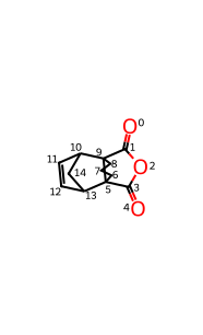 O=C1OC(=O)C23CCCC12C1C=CC3C1